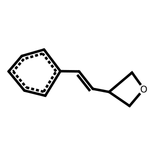 C(=CC1COC1)c1ccccc1